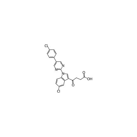 O=C(O)CCC(=O)c1cn(-c2ncc(-c3ccc(Cl)cc3)cn2)c2ccc(Cl)cc12